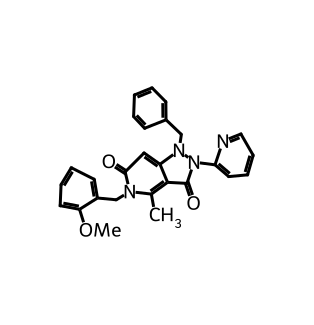 COc1ccccc1Cn1c(C)c2c(=O)n(-c3ccccn3)n(Cc3ccccc3)c2cc1=O